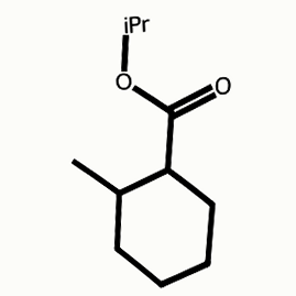 CC(C)OC(=O)C1CCCCC1C